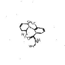 Cc1cccc(C(=O)NC(C)C)c1N1C(C)CC=CC1C(F)(F)F